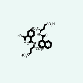 CCCC(=O)c1ccccc1C(=O)N[C@@H](CCS(=O)(=O)O)C(=O)O.O=C(N[C@@H](CCS(=O)(=O)O)C(=O)O)c1cccc2ccccc12